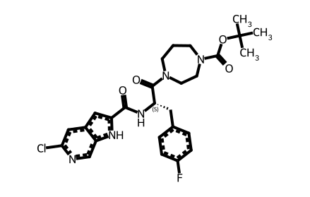 CC(C)(C)OC(=O)N1CCCN(C(=O)[C@H](Cc2ccc(F)cc2)NC(=O)c2cc3cc(Cl)ncc3[nH]2)CC1